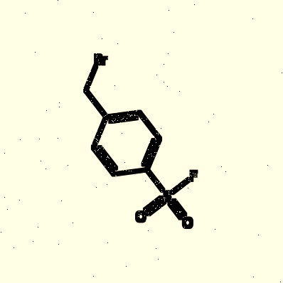 O=S(=O)(F)c1ccc(CBr)cc1